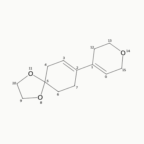 C1=C(C2=CCC3(CC2)OCCO3)CCOC1